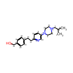 C[C](C)CN1CCN(c2ccc(CCc3ccc(CO)cc3)nc2)CC1